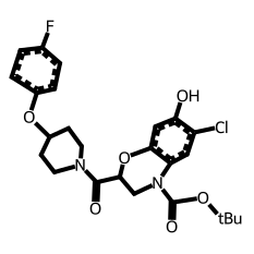 CC(C)(C)OC(=O)N1CC(C(=O)N2CCC(Oc3ccc(F)cc3)CC2)Oc2cc(O)c(Cl)cc21